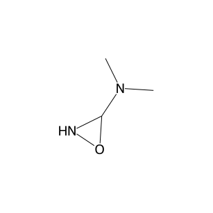 CN(C)C1NO1